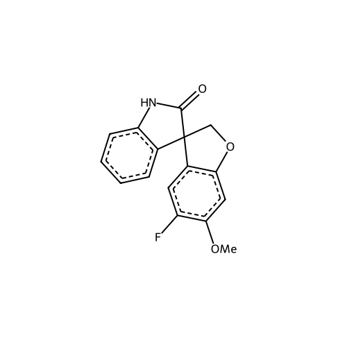 COc1cc2c(cc1F)C1(CO2)C(=O)Nc2ccccc21